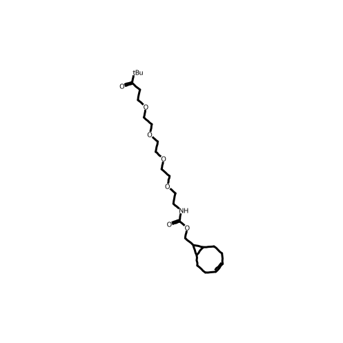 CC(C)(C)C(=O)CCOCCOCCOCCOCCNC(=O)OCC1C2CC/C=C\CCC21